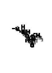 CC(C)(C)OC(=O)N[C@@H](Cc1ccccc1Cl)C(=O)Nc1ccc(N2C=C(CCCO)NN2)cc1